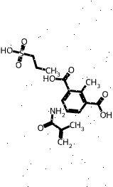 C=C(C)C(N)=O.CCCS(=O)(=O)O.Cc1c(C(=O)O)cccc1C(=O)O